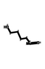 [O]=[Mo][CH2]CCCO